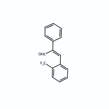 O=CC(=Cc1ccccc1C(F)(F)F)c1ccccc1